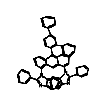 c1ccc(-c2ccc(-c3c4cccc(-n5c(-c6ccccc6)nc6ccccc65)c4cc4c(-n5c(-c6ccccc6)nc6ccccc65)cccc34)c(-c3ccccc3)c2)cc1